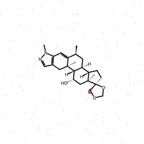 C[C@H]1C[C@@H]2[C@H]([C@@H](O)C[C@@]3(C)[C@H]2CC[C@@]32OCOC23COCO3)[C@@]2(C)Cc3cnn(C)c3C=C12